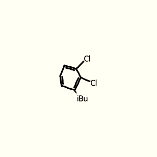 [CH2][C@@H](CC)c1cccc(Cl)c1Cl